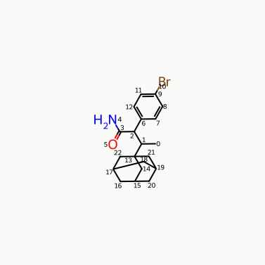 CC(C(C(N)=O)c1ccc(Br)cc1)C12CC3CC(CC(C3)C1)C2